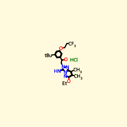 CCOc1nn2c(=N)n(CC(=O)c3cc(OCCC(F)(F)F)cc(C(C)(C)C)c3)nc2c(C)c1C.Cl